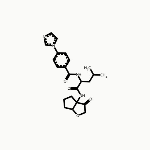 CC(C)CC(NC(=O)c1ccc(-n2ccnc2)cc1)C(=O)NC12CCCC1OCC2=O